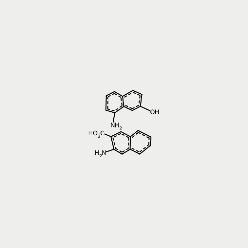 Nc1cc2ccccc2cc1C(=O)O.Nc1cccc2ccc(O)cc12